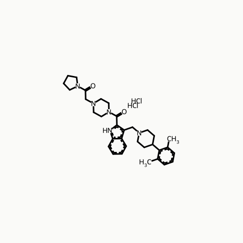 Cc1cccc(C)c1C1CCN(Cc2c(C(=O)N3CCN(CC(=O)N4CCCC4)CC3)[nH]c3ccccc23)CC1.Cl.Cl